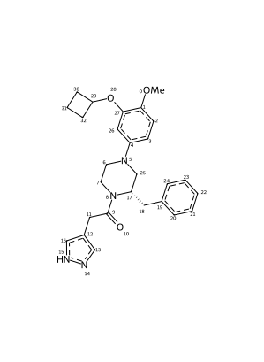 COc1ccc(N2CCN(C(=O)Cc3cn[nH]c3)[C@@H](Cc3ccccc3)C2)cc1OC1CCC1